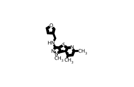 Cc1cc(C)c2c(n1)sc1c(NCc3ccoc3)nn(C)c12